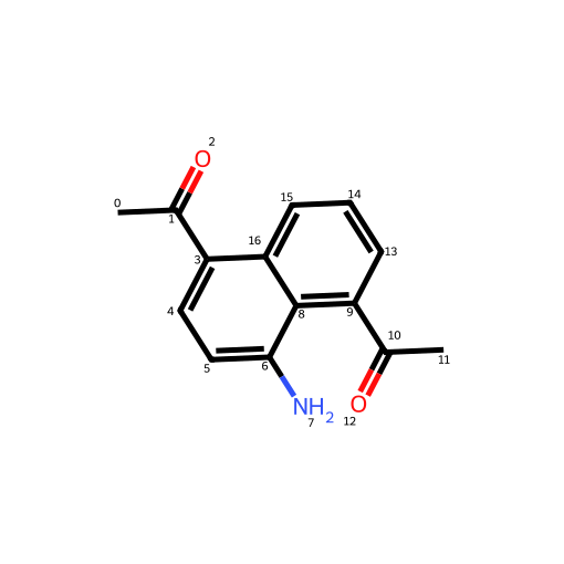 CC(=O)c1ccc(N)c2c(C(C)=O)cccc12